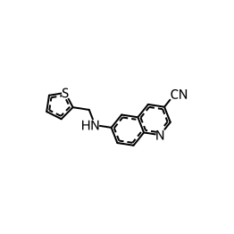 N#Cc1cnc2ccc(NCc3cccs3)cc2c1